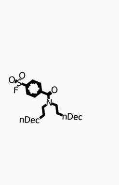 CCCCCCCCCCCCN(CCCCCCCCCCCC)C(=O)c1ccc(S(=O)(=O)F)cc1